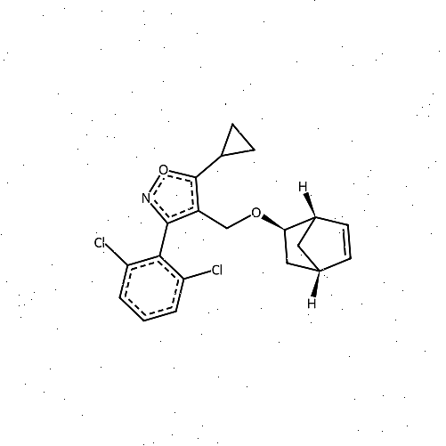 Clc1cccc(Cl)c1-c1noc(C2CC2)c1CO[C@@H]1C[C@H]2C=C[C@@H]1C2